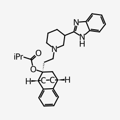 CC(C)C(=O)O[C@@]1(CCN2CCCC(c3nc4ccccc4[nH]3)C2)C[C@H]2CC[C@@H]1c1ccccc12